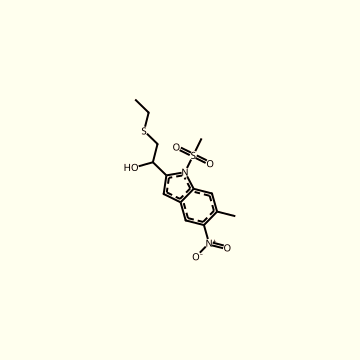 CCSCC(O)c1cc2cc([N+](=O)[O-])c(C)cc2n1S(C)(=O)=O